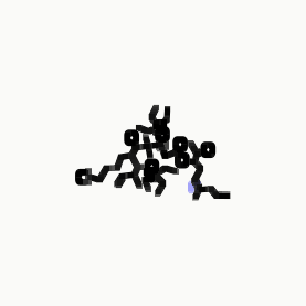 C=CC/C(C)=C\CC(OC(=O)C[C@H](O[Si](CC)(CC)CC)C(C)(C)C(=O)C(CCCCCl)C(O[Si](CC)(CC)CC)C(C)C=C)C(C)=O